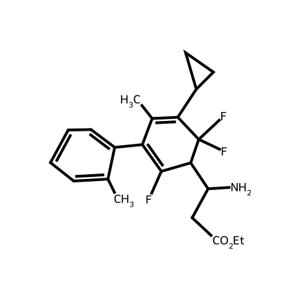 CCOC(=O)CC(N)C1C(F)=C(c2ccccc2C)C(C)=C(C2CC2)C1(F)F